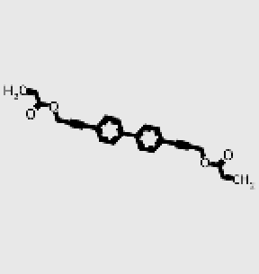 C=CC(=O)OCC#Cc1ccc(-c2ccc(C#CCOC(=O)C=C)cc2)cc1